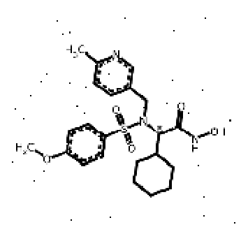 COc1ccc(S(=O)(=O)N(Cc2ccc(C)nc2)[C@@H](C(=O)NO)C2CCCCC2)cc1